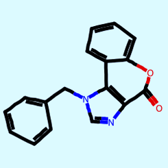 O=c1oc2ccccc2c2c1ncn2Cc1ccccc1